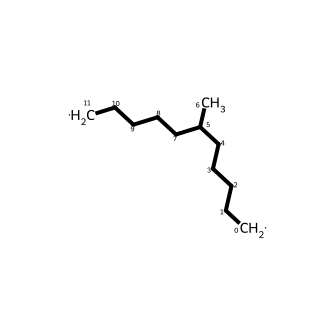 [CH2]CCCCC(C)CCCC[CH2]